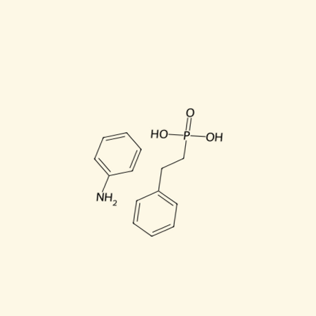 Nc1ccccc1.O=P(O)(O)CCc1ccccc1